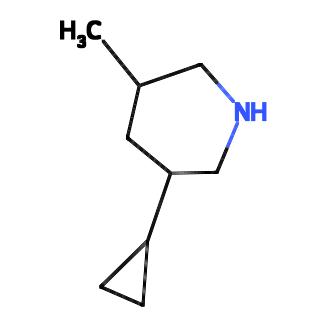 CC1CNCC(C2CC2)C1